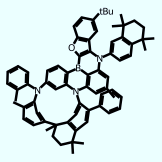 Cc1cc2c3c(c1)N(c1ccc4c(c1)C(C)(C)CCC4(C)C)c1c(oc4ccc(C(C)(C)C)cc14)B3c1ccc3cc1N2c1cc2c(cc1-c1ccccc1)C(C)(C)CCC2(C)c1ccc(C)c(c1)N3c1ccccc1C